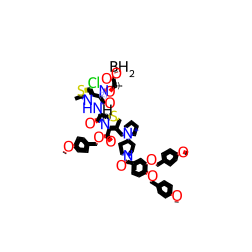 BOC(=O)[C@H](C)O/N=C(\C(=O)NC1C(=O)N2C(C(=O)OCc3ccc(OC)cc3)=C(C[N+]3(C4CCN(C(=O)c5ccc(OCc6ccc(OC)cc6)c(OCc6ccc(OC)cc6)c5)CC4)CCCC3)CS[C@H]12)c1nc(C)sc1Cl